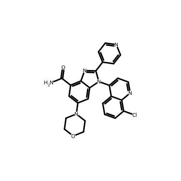 NC(=O)c1cc(N2CCOCC2)cc2c1nc(-c1ccncc1)n2-c1ccnc2c(Cl)cccc12